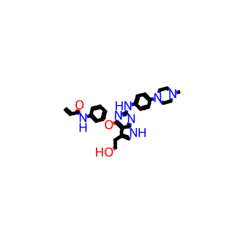 C=CC(=O)Nc1cccc(Oc2nc(Nc3ccc(N4CCN(C)CC4)cc3)nc3[nH]cc(CCO)c23)c1